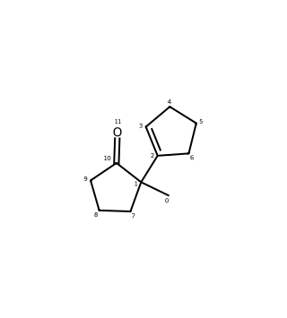 CC1(C2=CCCC2)CCCC1=O